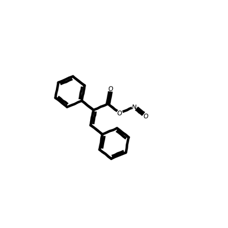 O=NOC(=O)C(=Cc1ccccc1)c1ccccc1